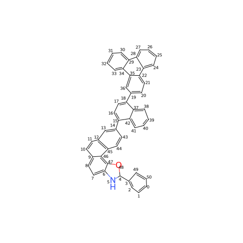 c1ccc(C2Nc3ccc4ccc5cc(-c6ccc(-c7ccc8c9ccccc9c9ccccc9c8c7)c7ccccc67)ccc5c4c3O2)cc1